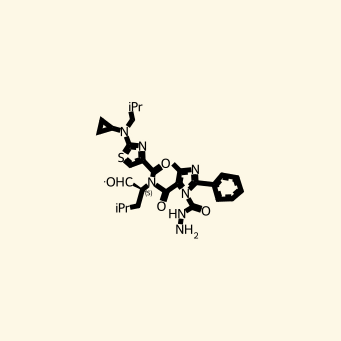 Cc1nc(-c2ccccc2)n(C(=O)NN)c1C(=O)N(C(=O)c1csc(N(CC(C)C)C2CC2)n1)[C@H]([C]=O)CC(C)C